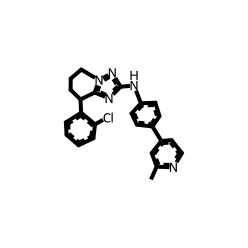 Cc1cc(-c2ccc(Nc3nc4n(n3)CCCC4c3ccccc3Cl)cc2)ccn1